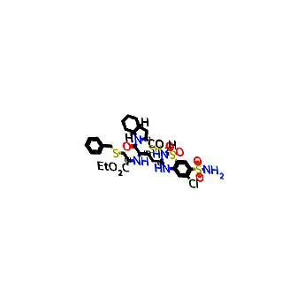 CCOC(=O)[C@H](CSCc1ccccc1)NC(C(=O)N1[C@@H]2CCCC[C@@H]2C[C@H]1C(=O)O)[C@@H](S)C[C@@H]1Nc2cc(Cl)c(S(N)(=O)=O)cc2S(=O)(=O)N1